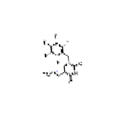 O=N/C=C/c1cn(Cc2c(F)c(F)c(F)c(F)c2F)c(=O)[nH]c1=O